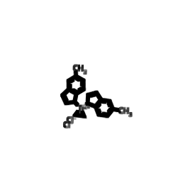 Cc1ccc2c(c1)C=C[CH]2[Ti+2]1([CH]2C=Cc3cc(C)ccc32)[CH2][CH2]1.[Cl-].[Cl-]